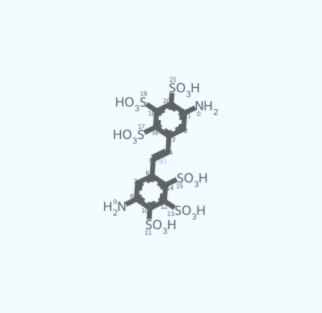 Nc1cc(/C=C/c2cc(N)c(S(=O)(=O)O)c(S(=O)(=O)O)c2S(=O)(=O)O)c(S(=O)(=O)O)c(S(=O)(=O)O)c1S(=O)(=O)O